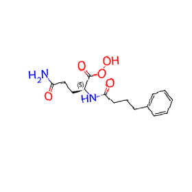 NC(=O)CC[C@H](NC(=O)CCCc1ccccc1)C(=O)OO